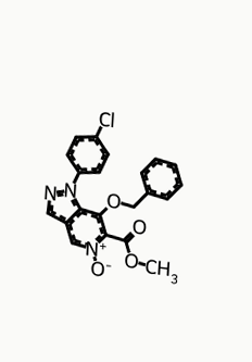 COC(=O)c1c(OCc2ccccc2)c2c(cnn2-c2ccc(Cl)cc2)c[n+]1[O-]